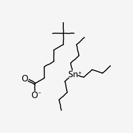 CC(C)(C)CCCCCC(=O)[O-].CCC[CH2][Sn+]([CH2]CCC)[CH2]CCC